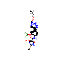 CSc1nc(O)c(C(=O)Nc2ccc(-c3cn(COCC[Si](C)(C)C)nn3)cc2OC(F)(F)F)c(=O)[nH]1